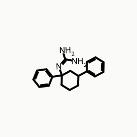 NC(N)=NC1(c2ccccc2)CCCC(c2ccccc2)C1